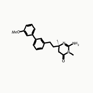 COc1cccc(-c2cccc(CC[C@]3(C)CC(=O)N(C)C(N)=N3)c2)c1